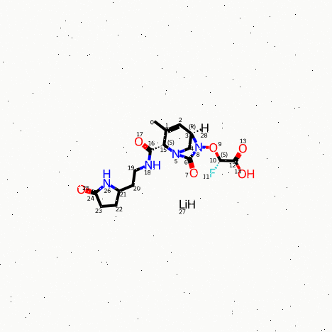 CC1=C[C@@H]2CN(C(=O)N2O[C@@H](F)C(=O)O)[C@@H]1C(=O)NCCC1CCC(=O)N1.[LiH]